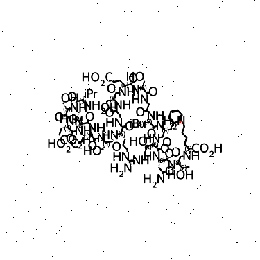 CC[C@H](C)[C@H](NC(=O)CNC(=O)[C@H](CO)NC(=O)[C@H](CCC(=O)O)NC(=O)[C@H](CO)NC(=O)CNC(=O)[C@H](CCCNC(=N)N)NC(=O)[C@H](CO)NC(=O)[C@H](CCC(=O)O)NC(=O)[C@@H](NC(=O)[C@H](CCC(=O)O)NC(=O)[C@H](CO)NC(=O)[C@@H](N)C(C)C)[C@@H](C)O)C(=O)N[C@@H](Cc1ccccc1)C(=O)N[C@H](C(=O)N[C@@H](CC(N)=O)C(=O)N[C@H](C(=O)N[C@@H](CCCCN)C(=O)O)[C@@H](C)O)[C@@H](C)O